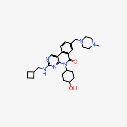 CN1CCN(Cc2ccc3c(c2)c(=O)n(C2CCC(O)CC2)c2nc(NCC4CCC4)ncc32)CC1